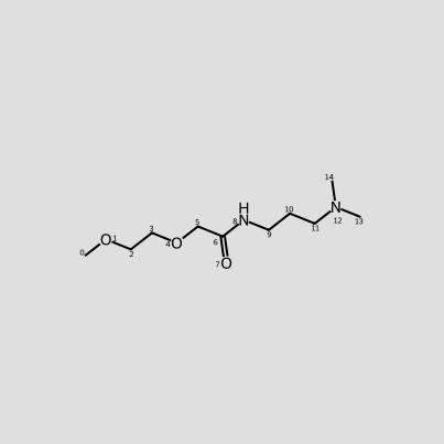 COCCOCC(=O)NCCCN(C)C